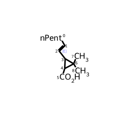 CCCCC/C=C/C1C(C(=O)O)C1(C)C